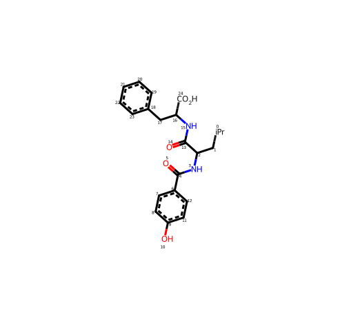 CC(C)CC(NC(=O)c1ccc(O)cc1)C(=O)NC(Cc1ccccc1)C(=O)O